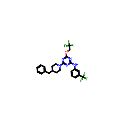 FC(F)(F)COc1nc(Nc2cccc(C(F)(F)F)c2)nc(N2CCC(Cc3ccccc3)CC2)n1